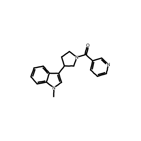 Cn1cc(C2CCN(C(=O)c3cccnc3)C2)c2ccccc21